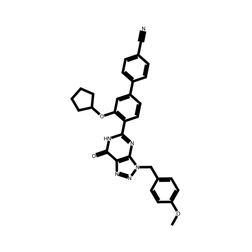 COc1ccc(Cn2nnc3c(=O)[nH]c(-c4ccc(-c5ccc(C#N)cc5)cc4OC4CCCC4)nc32)cc1